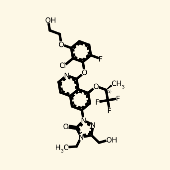 CCn1c(CO)nn(-c2cc(O[C@@H](C)C(F)(F)F)c3c(Oc4c(F)ccc(OCCO)c4Cl)nccc3c2)c1=O